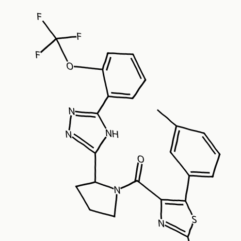 Cc1cccc(-c2sc(C)nc2C(=O)N2CCCC2c2nnc(-c3ccccc3OC(F)(F)F)[nH]2)c1